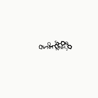 Nc1ncc(/C=C/C(=O)NCCN2CCCCC2)c2scc(-c3ccc(Oc4ccccc4)cc3)c12